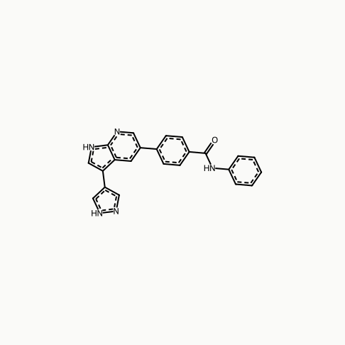 O=C(Nc1ccccc1)c1ccc(-c2cnc3[nH]cc(-c4cn[nH]c4)c3c2)cc1